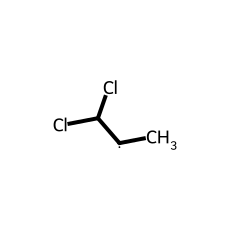 C[CH]C(Cl)Cl